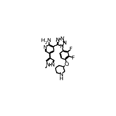 Cn1cc(-c2cnc(N)c(-c3nnnn3-c3ccc(OC4CCCNC4)c(F)c3F)c2)cn1